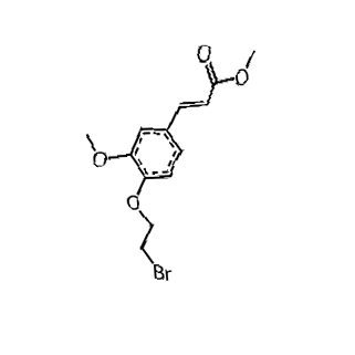 COC(=O)C=Cc1ccc(OCCBr)c(OC)c1